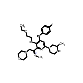 CCOCCNc1c(Nc2ccc(F)cc2)nc(N2CCNC(C)C2)nc1/C(CN1CCOCC1)=N\C